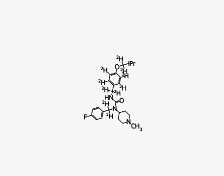 [2H]c1c([2H])c(C([2H])([2H])NC(=O)N(C2CCN(C)CC2)C([2H])([2H])c2ccc(F)cc2)c([2H])c([2H])c1OC([2H])([2H])C(C)C